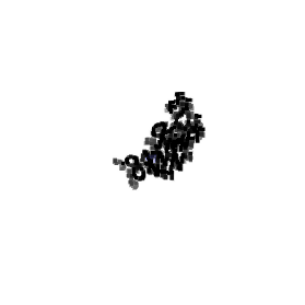 CCOC(OCC)C(=N)/N=C(\Nc1ncccn1)C(C)NC(=O)c1cc(C(F)(F)F)cc(C(F)(F)F)c1